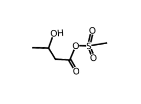 CC(O)CC(=O)OS(C)(=O)=O